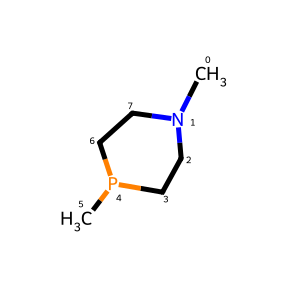 CN1CCP(C)CC1